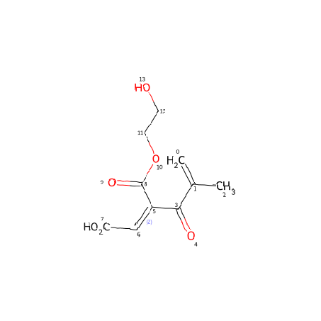 C=C(C)C(=O)/C(=C/C(=O)O)C(=O)OCCO